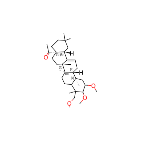 COCC1(C)C(OC)C(OC)C[C@@]2(C)C1CC[C@]1(C)[C@@H]2CC=C2[C@H]3CC(C)(C)CC[C@]3(C(C)=O)CC[C@]21C